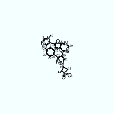 Cn1cncc1-c1cc2c(-c3cn(C4CS(=O)(=O)C4)nc3-c3ccc(F)cc3)ncnc2o1